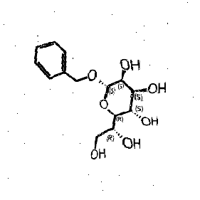 OC[C@@H](O)[C@H]1O[C@H](OCc2ccccc2)[C@@H](O)[C@@H](O)[C@@H]1O